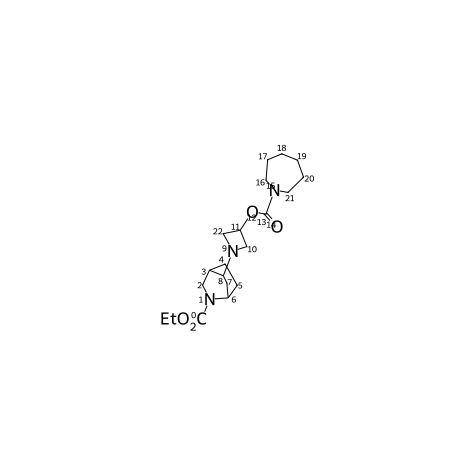 CCOC(=O)N1CC2CCC1CC2N1CC(OC(=O)N2CCCCCC2)C1